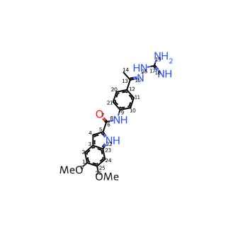 COc1cc2cc(C(=O)Nc3ccc(/C(C)=N/NC(=N)N)cc3)[nH]c2cc1OC